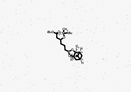 CC(C)COC(=O)CC(CCCB1O[C@@H]2C[C@@H]3C[C@@H](C3(C)C)[C@]2(C)O1)O[Si](C)(C)C(C)(C)C